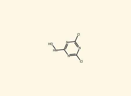 ONc1nc(Cl)nc(Cl)n1